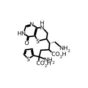 NC[C@@H](C1CNc2nc[nH]c(=O)c2S1)C(CC(N)(C(=O)O)c1cccs1)C(=O)O